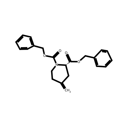 C=C1CCN(C(=O)OCc2ccccc2)[C@H](C(=O)OCc2ccccc2)C1